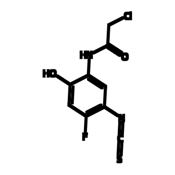 O=C(CCl)Nc1cc(N=C=S)c(F)cc1O